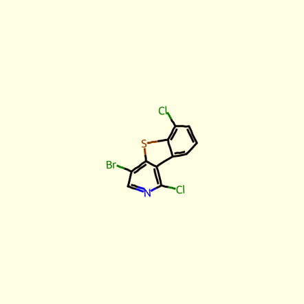 Clc1cccc2c1sc1c(Br)cnc(Cl)c12